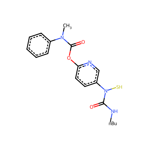 CCCCNC(=O)N(S)c1ccc(OC(=O)N(C)c2ccccc2)nc1